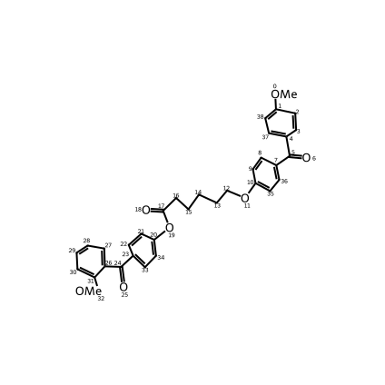 COc1ccc(C(=O)c2ccc(OCCCCCC(=O)Oc3ccc(C(=O)c4ccccc4OC)cc3)cc2)cc1